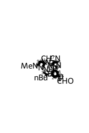 CCCCC(CC)CNc1nc(NC)cc(C)c1N=Nc1c(C#N)cnn1-c1cccc(OC=O)c1